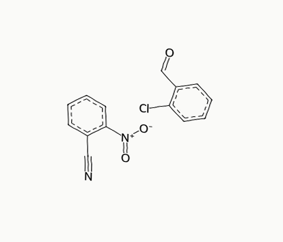 N#Cc1ccccc1[N+](=O)[O-].O=Cc1ccccc1Cl